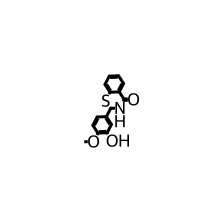 COc1ccc(C2NC(=O)c3ccccc3S2)cc1O